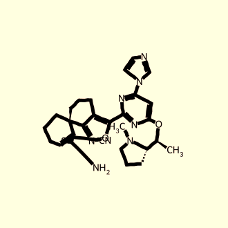 C[C@H](Oc1cc(-n2ccnc2)nc(-c2onc3c2CCC[C@@]32CCCc3sc(N)c(C#N)c32)n1)[C@@H]1CCCN1C